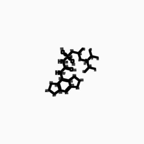 CC(CN(C(C)C)C(C)C)CS(=O)(=O)NC(=O)Nc1c2c(cc3c1CCC3)CCC2